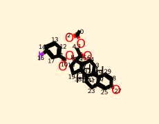 CC(=O)OCC(=O)[C@@]1(OC(=O)c2cccc(I)c2)CC[C@H]2[C@@H]3CCC4=CC(=O)C=C[C@]4(C)[C@H]3CC[C@@]21C